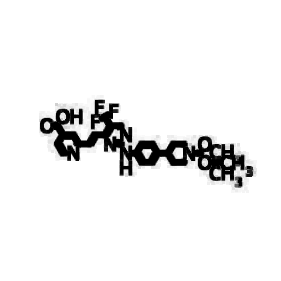 CC(C)(C)OC(=O)N1CCC(c2ccc(Nc3ncc(C(F)(F)F)c(C=Cc4cc(C(=O)O)ccn4)n3)cc2)CC1